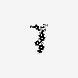 CC(C)(C)c1ccc(OC(c2ccc3cc(C(=O)[As](CC(=O)O)Cc4ccc(Br)s4)ncc3c2)C2CCCC2)cc1